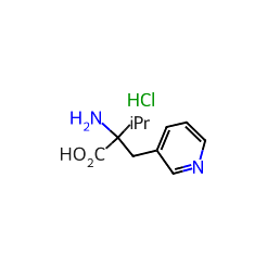 CC(C)C(N)(Cc1cccnc1)C(=O)O.Cl